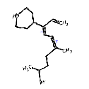 C=C/C(=C\C=C(\C)CCC(C)C(C)C)C1CCNCC1